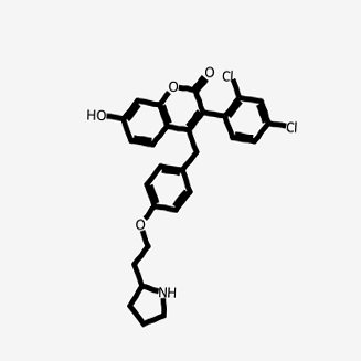 O=c1oc2cc(O)ccc2c(Cc2ccc(OCCC3CCCN3)cc2)c1-c1ccc(Cl)cc1Cl